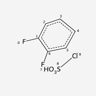 Fc1ccccc1F.O=S(=O)(O)Cl